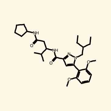 CCC(CC)Cn1nc(C(=O)NC(CC(=O)NC2CCCC2)C(C)C)cc1-c1c(OC)cccc1OC